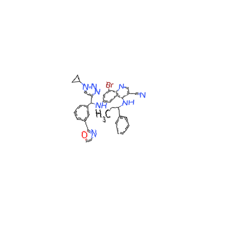 CCC(Nc1c(C#N)cnc2c(Br)cc(NC(c3cccc(-c4ncco4)c3)c3cn(C4CC4)nn3)cc12)c1ccccc1